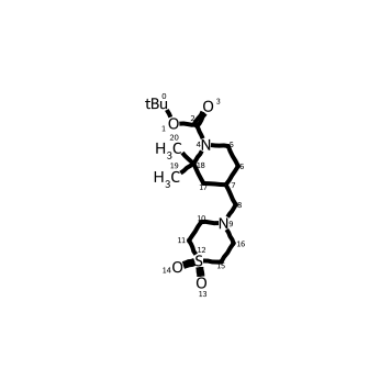 CC(C)(C)OC(=O)N1CCC(CN2CCS(=O)(=O)CC2)CC1(C)C